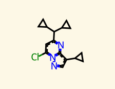 Clc1cc(C(C2CC2)C2CC2)nc2c(C3CC3)cnn12